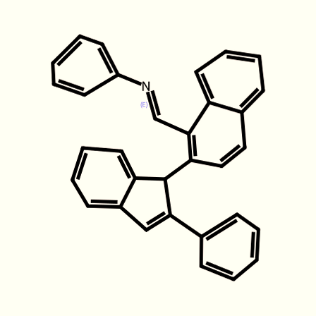 C1=C(c2ccccc2)C(c2ccc3ccccc3c2/C=N/c2ccccc2)c2ccccc21